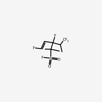 CC(C(F)(F)F)C(F)(C=CF)C(C)(C)S(=O)(=O)F